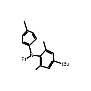 CCN(c1ccc(C)cc1)c1c(C)cc(C(C)(C)C)cc1C